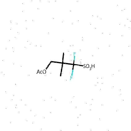 CC(=O)OCC(C)(C)C(F)(F)S(=O)(=O)O